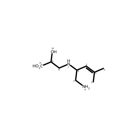 CC(C)=CC(CN)NCC(O)C(=O)O